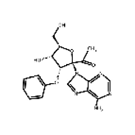 CC(=O)[C@@]1(n2cnc3c(N)ncnc32)O[C@H](CO)[C@@H](O)[C@H]1Oc1ccccc1